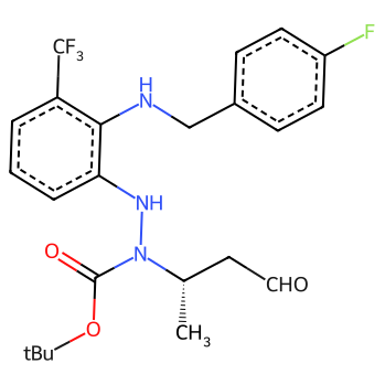 C[C@@H](CC=O)N(Nc1cccc(C(F)(F)F)c1NCc1ccc(F)cc1)C(=O)OC(C)(C)C